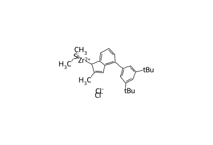 CC1=Cc2c(-c3cc(C(C)(C)C)cc(C(C)(C)C)c3)cccc2[CH]1[Zr+2][Si](C)C.[Cl-].[Cl-]